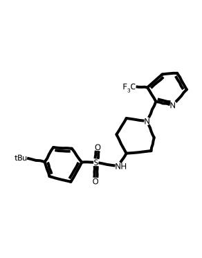 CC(C)(C)c1ccc(S(=O)(=O)NC2CCN(c3ncccc3C(F)(F)F)CC2)cc1